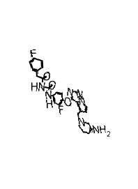 N[C@H]1CCCN(Cc2ccn3ncnc(Oc4ccc(NC(=O)NC(=O)Cc5ccc(F)cc5)cc4F)c23)C1